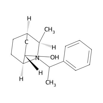 CC(c1ccccc1)N1[C@H](C)[C@@H]2CC[C@H]1[C@@H](O)C2